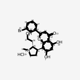 CN1CC[C@H](c2c(O)cc(O)c3c(=O)cc(-c4cccc(Br)c4)oc23)[C@H]1CCO.Cl